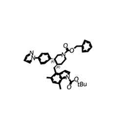 Cc1cc(C)c2c(ccn2C(=O)OC(C)(C)C)c1C[C@@H]1CCN(C(=O)OCc2ccccc2)C[C@H]1c1ccc(-n2cccn2)cc1